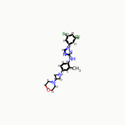 Cc1cc(N2CC(N3CCOCC3)C2)ccc1Nc1ncn(-c2cc(F)cc(F)c2)n1